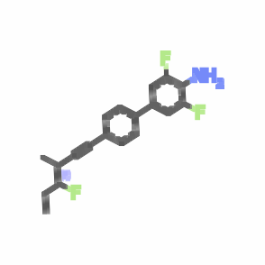 C=C/C(F)=C(\C)C#Cc1ccc(-c2cc(F)c(N)c(F)c2)cc1